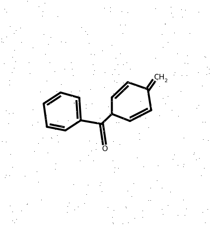 C=C1C=CC(C(=O)c2ccccc2)C=C1